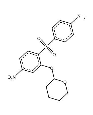 Nc1ccc(S(=O)(=O)c2ccc([N+](=O)[O-])cc2OC2CCCCO2)cc1